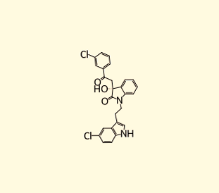 O=C(C[C@]1(O)C(=O)N(CCc2c[nH]c3ccc(Cl)cc23)c2ccccc21)c1cccc(Cl)c1